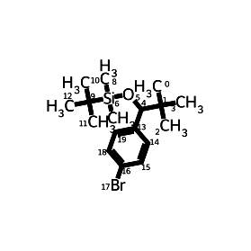 CC(C)(C)C(O[Si](C)(C)C(C)(C)C)c1ccc(Br)cc1